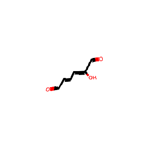 O=CC=CC=C(O)C=O